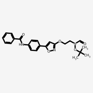 CC(C)(C)ON(C=O)CCOc1cc(-c2ccc(NC(=O)c3ccccc3)cc2)on1